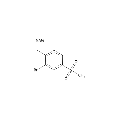 CNCc1ccc(S(C)(=O)=O)cc1Br